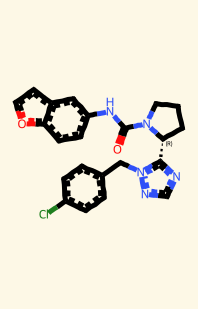 O=C(Nc1ccc2occc2c1)N1CCC[C@@H]1c1ncnn1Cc1ccc(Cl)cc1